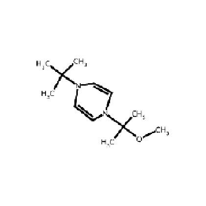 COC(C)(C)N1C=CN(C(C)(C)C)C=C1